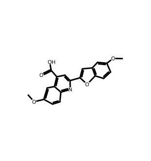 COc1ccc2oc(-c3cc(C(=O)O)c4cc(OC)ccc4n3)cc2c1